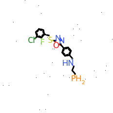 Fc1c(Cl)cccc1CSc1nnc(-c2ccc(CNCCCP)cc2)o1